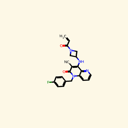 C=CC(=O)N1CC(Nc2c(C#N)c(=O)n(Cc3ccc(F)cc3)c3cccnc23)C1